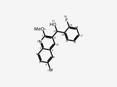 COc1nc2ccc(Br)cc2cc1C(O)c1ccccc1F